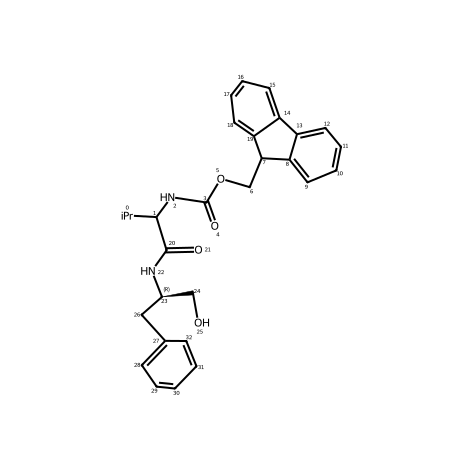 CC(C)C(NC(=O)OCC1c2ccccc2-c2ccccc21)C(=O)N[C@@H](CO)Cc1ccccc1